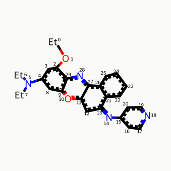 CCOc1cc(N(CC)CC)cc2oc3c/c(=N/c4ccncc4)c4ccccc4c-3nc12